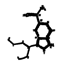 CCCC(CC)c1n[nH]c2ccc(C(N)=O)cc12